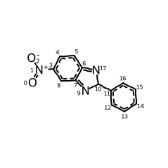 O=[N+]([O-])c1ccc2c(c1)=NC(c1ccccc1)N=2